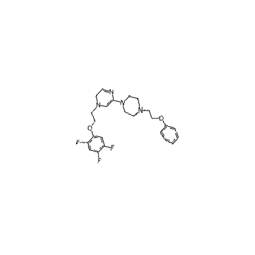 Fc1cc(F)c(OCCN2C=C(N3CCN(CCOc4ccccc4)CC3)N=CC2)cc1F